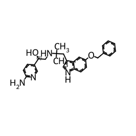 CC(C)(Cc1c[nH]c2ccc(OCc3ccccc3)cc12)NC[C@H](O)c1ccc(N)nc1